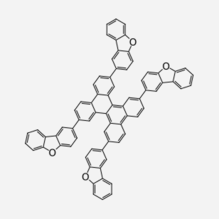 c1ccc2c(c1)oc1ccc(-c3ccc4c5ccc(-c6ccc7oc8ccccc8c7c6)cc5c5c6cc(-c7ccc8oc9ccccc9c8c7)ccc6c6ccc(-c7ccc8oc9ccccc9c8c7)cc6c5c4c3)cc12